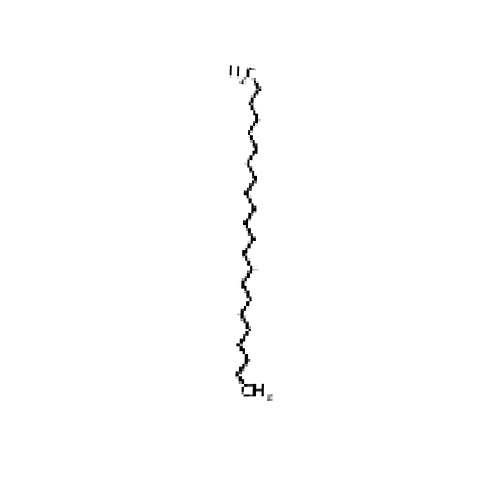 CCCCCCCC[CH]CCCCCCCCCCCCC